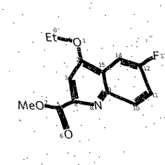 CCOc1cc(C(=O)OC)nc2ccc(F)cc12